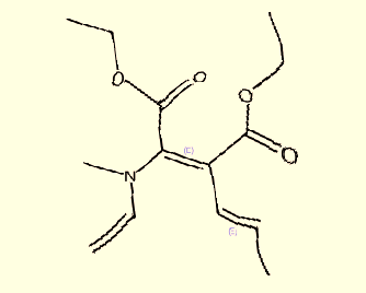 C=CN(C)/C(C(=O)OCC)=C(\C=C\C)C(=O)OCC